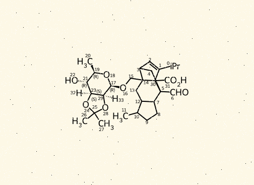 CC(C)C1=CC2CC3(C=O)C4CCC(C)C4CC2(CO[C@@H]2O[C@H](C)[C@@H](O)[C@@H]4OC(C)(C)O[C@H]24)C13C(=O)O